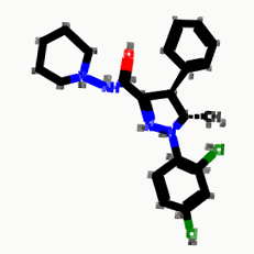 C[C@H]1[C@H](c2ccccc2)C(C(=O)NN2CCCCC2)=NN1c1ccc(Cl)cc1Cl